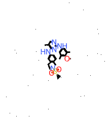 COc1c(C)cc(Nc2ncc(C)c(Nc3ccc4c(c3)CCN(S(=O)(=O)C3CC3)C4)n2)cc1C